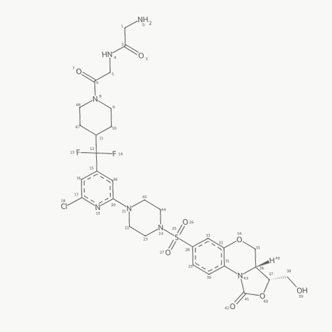 NCC(=O)NCC(=O)N1CCC(C(F)(F)c2cc(Cl)nc(N3CCN(S(=O)(=O)c4ccc5c(c4)OC[C@@H]4[C@H](CO)OC(=O)N54)CC3)c2)CC1